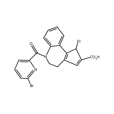 CCC1C(C(=O)O)=CC2=C1c1ccccc1N(C(=O)c1cccc(Br)n1)CC2